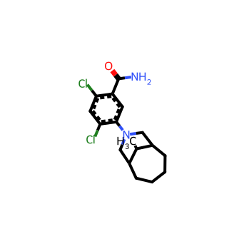 CC1C2CCCCC1CN(c1cc(C(N)=O)c(Cl)cc1Cl)C2